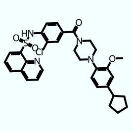 COc1cc(C2CCCC2)ccc1N1CCN(C(=O)c2ccc(NS(=O)(=O)c3cccc4cccnc34)c(Cl)c2)CC1